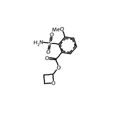 COc1cccc(C(=O)OC2CCO2)c1S(N)(=O)=O